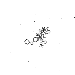 CCOP(=O)(OCC)N(C=O)C(NS(=O)(=O)c1ccc(Oc2ccccc2)cc1)C(C)NC(=O)OC(C)(C)C